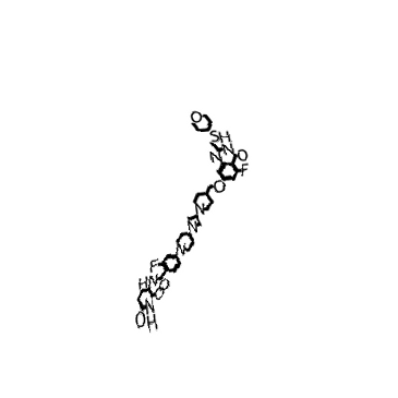 O=C1CCC(NC(=O)c2ccc(N3CCC(N4CC(N5CCC(COc6cc(F)c7c(=O)[nH]c(CSC8CCOCC8)nc7c6)CC5)C4)CC3)cc2F)C(=O)N1